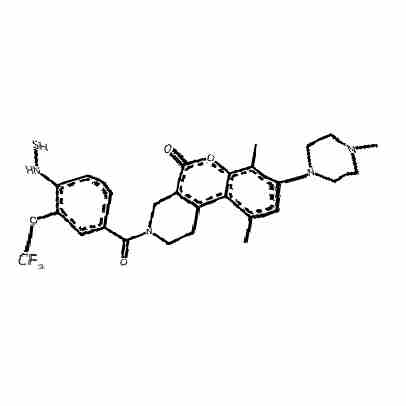 Cc1c(N2CCN(C)CC2)cc(C)c2c3c(c(=O)oc12)CN(C(=O)c1ccc(NS)c(OC(F)(F)F)c1)CC3